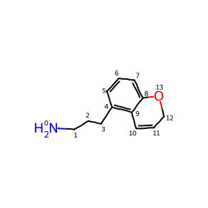 NCCCc1cccc2c1C=CCO2